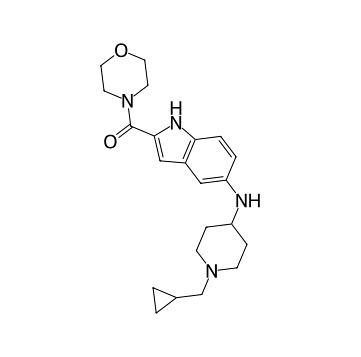 O=C(c1cc2cc(NC3CCN(CC4CC4)CC3)ccc2[nH]1)N1CCOCC1